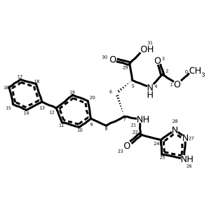 COC(=O)N[C@H](C[C@@H](Cc1ccc(-c2ccccc2)cc1)NC(=O)c1c[nH]nn1)C(=O)O